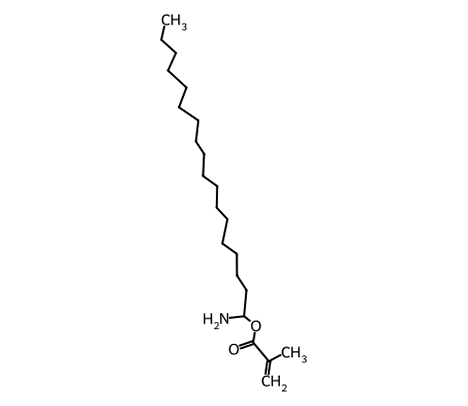 C=C(C)C(=O)OC(N)CCCCCCCCCCCCCCCCC